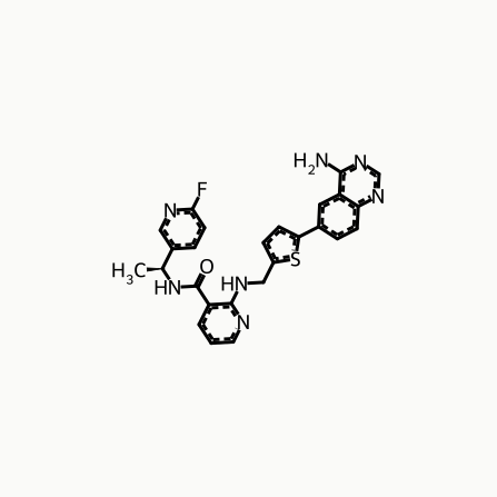 C[C@H](NC(=O)c1cccnc1NCc1ccc(-c2ccc3ncnc(N)c3c2)s1)c1ccc(F)nc1